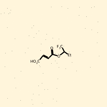 CCC(OC(=O)C=CC(=O)O)C(F)(F)F